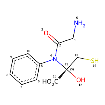 NCC(=O)N(c1ccccc1)[C@@](O)(CS)C(=O)O